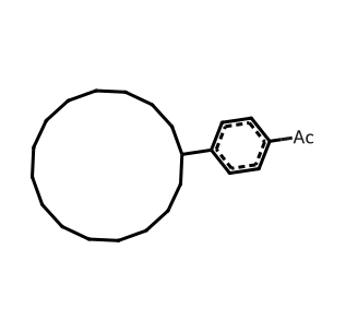 CC(=O)c1ccc(C2CCCCCCCCCCCCCCC2)cc1